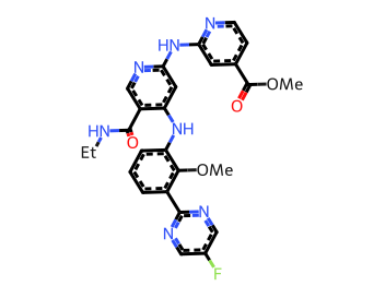 CCNC(=O)c1cnc(Nc2cc(C(=O)OC)ccn2)cc1Nc1cccc(-c2ncc(F)cn2)c1OC